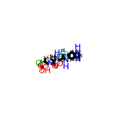 O=C(O)OC1=C(Cl)CS[C@H]2C(NC(=O)[C@@H](Nc3ccc4[nH]cnc4c3)C(F)(F)F)C(=O)N12